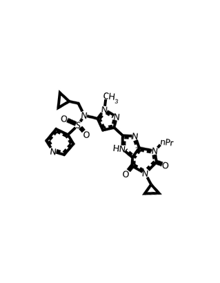 CCCn1c(=O)n(C2CC2)c(=O)c2[nH]c(-c3cc(N(CC4CC4)S(=O)(=O)c4ccncc4)n(C)n3)nc21